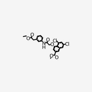 CCOC(=O)Cc1cccc(NC(=O)COc2cc(C(=O)OC)cc3cc(Cl)cc(Cl)c23)c1